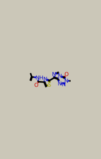 C=C(C)NC(=O)c1csc(-c2ncn3c(=O)n(C)nnc23)n1